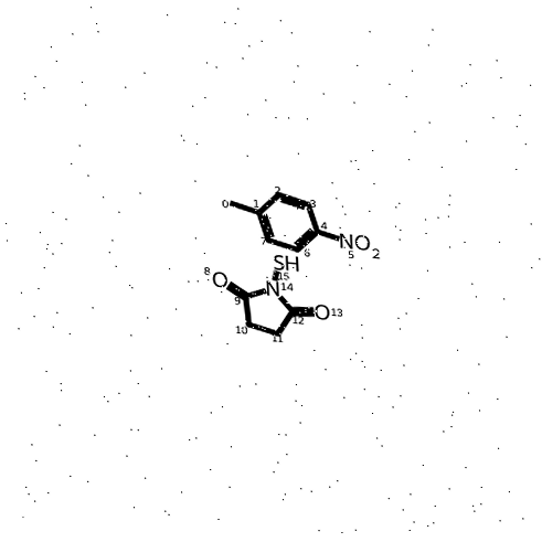 Cc1ccc([N+](=O)[O-])cc1.O=C1CCC(=O)N1S